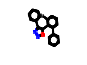 CC(C)(C)c1cccc(-c2ccccc2)c1-c1onnc1-c1ccccc1